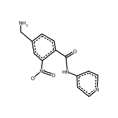 NCc1ccc(C(=O)Nc2ccncc2)c([N+](=O)[O-])c1